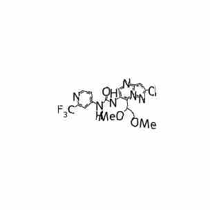 COCC(OC)c1c(NC(=O)Nc2ccnc(C(F)(F)F)c2)cnc2cc(Cl)nn12